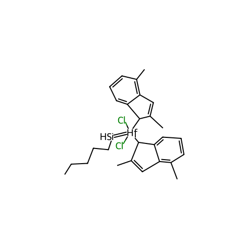 CCCCC[SiH]=[Hf]([Cl])([Cl])([CH]1C(C)=Cc2c(C)cccc21)[CH]1C(C)=Cc2c(C)cccc21